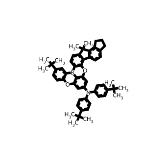 CC(C)(C)c1ccc(N(c2ccc(C(C)(C)C)cc2)c2cc3c4c(c2)Oc2c(ccc5c2-c2ccc6c(c2C5(C)C)CCC6)B4c2cc(C(C)(C)C)ccc2O3)cc1